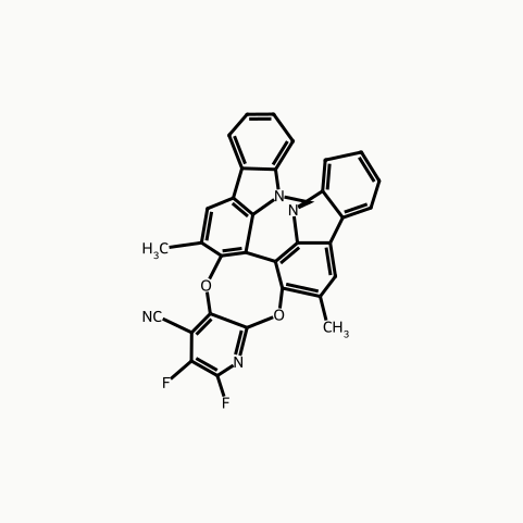 Cc1cc2c3ccccc3n3c2c2c1oc1nc(F)c(F)c(C#N)c1oc1c(C)cc4c5ccccc5n(c4c12)C3